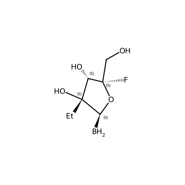 B[C@@H]1O[C@](F)(CO)[C@@H](O)[C@]1(O)CC